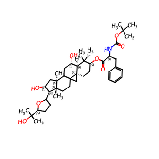 CC(C)(C)OC(=O)N[C@@H](Cc1ccccc1)C(=O)O[C@H]1CC[C@]23CC24CC[C@]2(C)[C@@H](C5CC[C@@H](C(C)(C)O)O5)[C@@H](O)C[C@@]2(C)C4C[C@H](O)[C@H]3C1(C)C